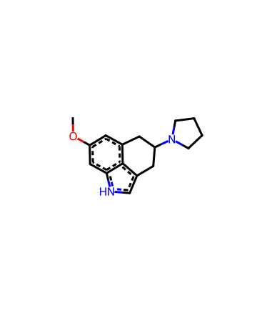 COc1cc2c3c(c[nH]c3c1)CC(N1CCCC1)C2